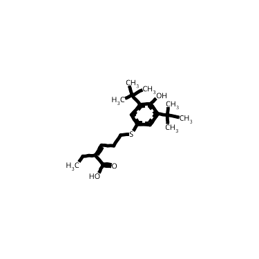 CCC(=CCCSc1cc(C(C)(C)C)c(O)c(C(C)(C)C)c1)C(=O)O